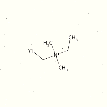 CC[N+](C)(C)CCl